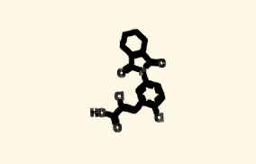 O=C(O)C(Cl)=Cc1cc(N2C(=O)C3=C(CCCC3)C2=O)ccc1Cl